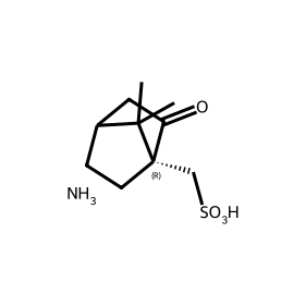 CC1(C)C2CC[C@]1(CS(=O)(=O)O)C(=O)C2.N